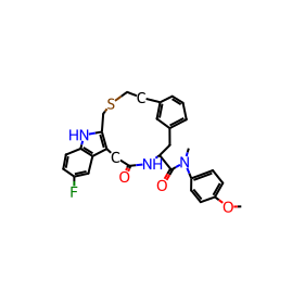 COc1ccc(N(C)C(=O)C2Cc3cccc(c3)CCSCc3[nH]c4ccc(F)cc4c3CC(=O)N2)cc1